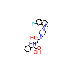 O=C(O)[C@H](NC[C@@H](O)CN1CCN(c2nccc3ccc(F)cc23)CC1)C1CCCCC1